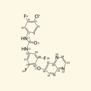 O=C(Nc1ccc(Cl)c(F)c1)Nc1cc(F)c(Oc2ccc3nccnc3c2)c(F)c1